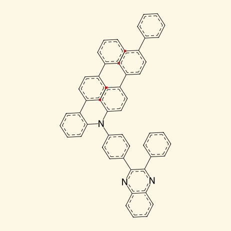 c1ccc(-c2ccc(-c3ccc(N(c4ccc(-c5nc6ccccc6nc5-c5ccccc5)cc4)c4ccccc4-c4ccc(-c5ccccc5)cc4)cc3)cc2)cc1